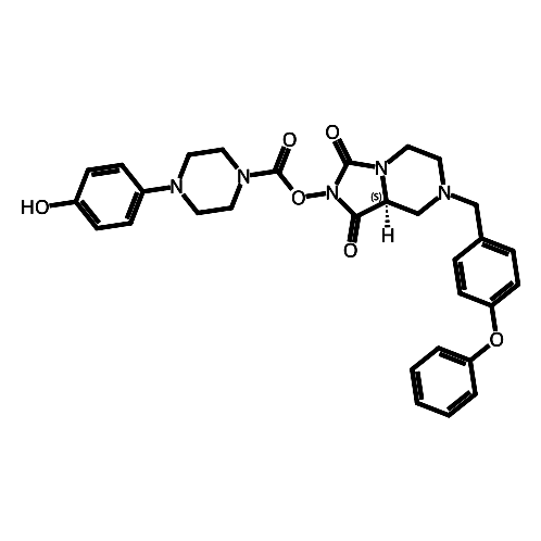 O=C(ON1C(=O)[C@@H]2CN(Cc3ccc(Oc4ccccc4)cc3)CCN2C1=O)N1CCN(c2ccc(O)cc2)CC1